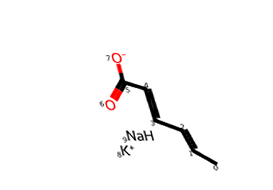 CC=CC=CC(=O)[O-].[K+].[NaH]